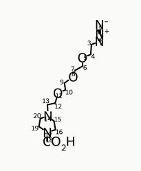 [N-]=[N+]=NCCOCCOCCOCCN1CCN(C(=O)O)CC1